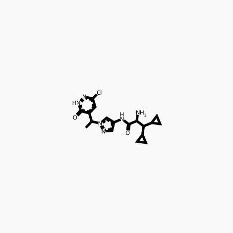 CC(c1cc(Cl)n[nH]c1=O)n1cc(NC(=O)C(N)C(C2CC2)C2CC2)cn1